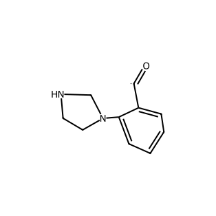 O=[C]c1ccccc1N1CCNC1